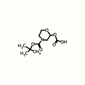 CC(C)(C)OC(=O)N1CCOC(OC(=O)O)C1